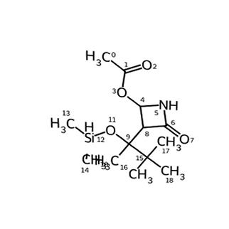 CC(=O)OC1NC(=O)C1C(C)(O[SiH](C)C)C(C)(C)C